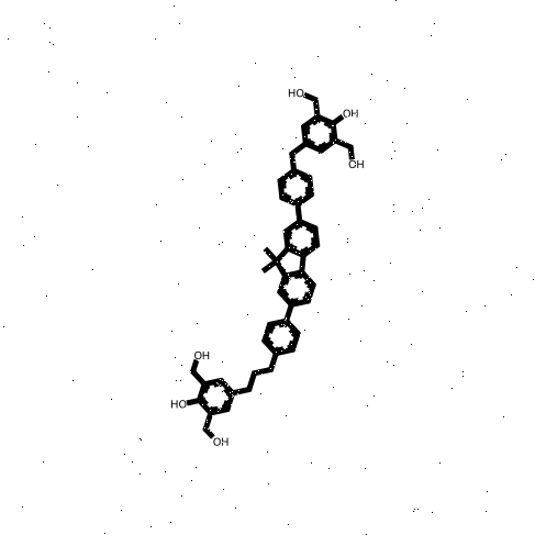 CC1(C)c2cc(-c3ccc(CCCc4cc(CO)c(O)c(CO)c4)cc3)ccc2-c2ccc(-c3ccc(Cc4cc(CO)c(O)c(CO)c4)cc3)cc21